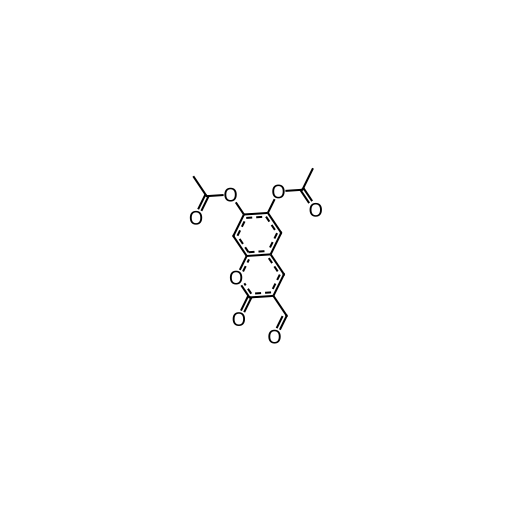 CC(=O)Oc1cc2cc(C=O)c(=O)oc2cc1OC(C)=O